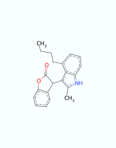 CCCCc1cccc2[nH]c(C)c(C3C(=O)Oc4ccccc43)c12